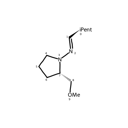 CCC[C@H](C)/C=N/N1CCC[C@H]1COC